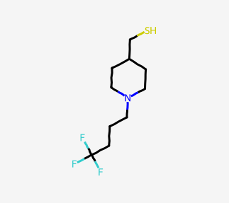 FC(F)(F)CCCN1CCC(CS)CC1